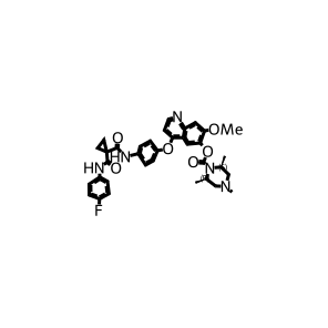 COc1cc2nccc(Oc3ccc(NC(=O)C4(C(=O)Nc5ccc(F)cc5)CC4)cc3)c2cc1OC(=O)N1[C@H](C)CN(C)C[C@@H]1C